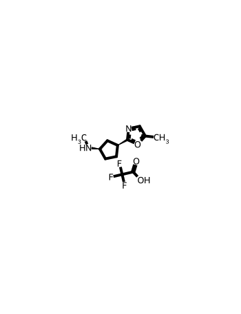 CN[C@@H]1CC[C@H](c2ncc(C)o2)C1.O=C(O)C(F)(F)F